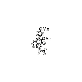 COc1ccc([C@H]2Sc3ccccc3N(CCN(C)C3CC3)C(=O)[C@H]2OC(C)=O)cc1